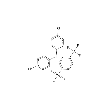 Clc1ccc([I+]c2ccc(Cl)cc2)cc1.O=S(=O)([O-])c1ccc(C(F)(F)F)cc1